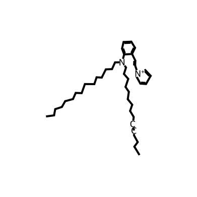 CCCCCCCCCCCCCCCN(CCCCCCCCCCCCCCC)c1ccccc1/C=C/[n+]1ccccc1